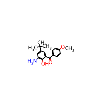 COc1ccc(C(=O)c2cc(C(C)(C)C)cc(N)c2O)cc1